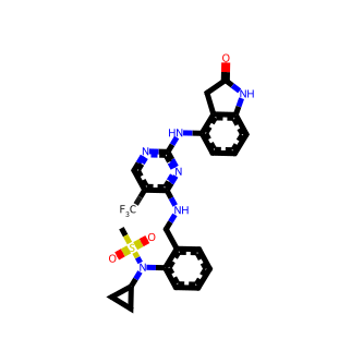 CS(=O)(=O)N(c1ccccc1CNc1nc(Nc2cccc3c2CC(=O)N3)ncc1C(F)(F)F)C1CC1